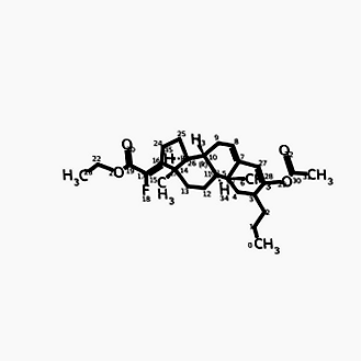 CCCC1C[C@@]2(C)C(=CC[C@@H]3[C@@H]2CC[C@]2(C)C(=C(F)C(=O)OCC)CC[C@@H]32)C=C1OC(C)=O